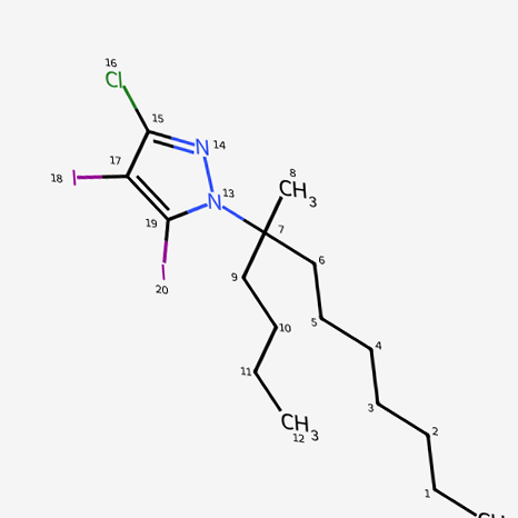 CCCCCCCC(C)(CCCC)n1nc(Cl)c(I)c1I